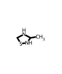 CC1NCSN1